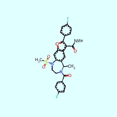 CNC(=O)c1c(-c2ccc(F)cc2)oc2cc3c(cc12)C(C)N(C(=O)c1ccc(F)cc1)CCN3S(C)(=O)=O